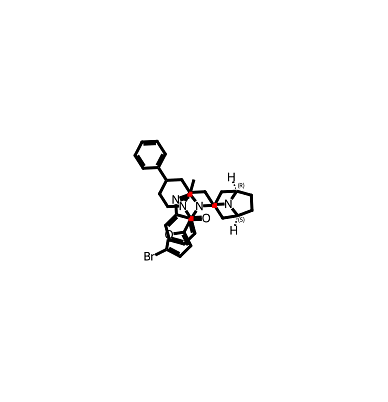 Cc1nc2ccccc2n1C1C[C@H]2CC[C@@H](C1)N2CCC1CC(c2ccccc2)CCN1C(=O)c1ccc(Br)o1